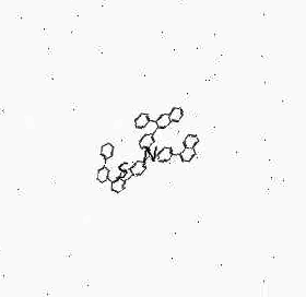 C1=CC(C2=CCCC(c3cccc4c3sc3cc(N(c5ccc(-c6cccc7ccccc67)cc5)c5cccc(-c6cc7ccccc7cc6-c6ccccc6)c5)ccc34)=C2)=CCC1